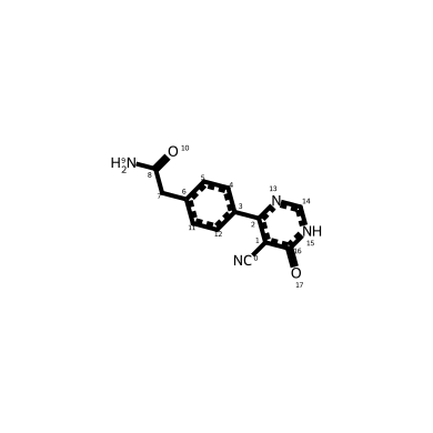 N#Cc1c(-c2ccc(CC(N)=O)cc2)nc[nH]c1=O